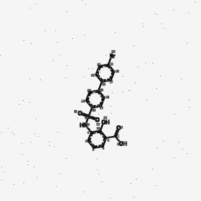 O=C(O)c1cccc(NS(=O)(=O)c2ccc(-c3ccc(Br)cc3)cc2)c1O